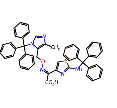 Cc1ncn(C(c2ccccc2)(c2ccccc2)c2ccccc2)c1CON=C(C(=O)O)c1csc(NC(c2ccccc2)(c2ccccc2)c2ccccc2)n1